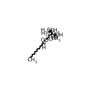 CCCCCCCCCCCCNC(=O)OCC(CC(C[N+](C)(C)C)OP(=O)([O-])O)OC